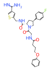 N=C(N)c1csc(CNC(=O)[C@@H]2C[C@@H](c3ccc(F)cc3)CN2C(=O)CNC(=O)CCCOc2ccccc2)c1